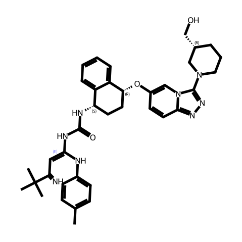 Cc1ccc(N/C(=C\C(=N)C(C)(C)C)NC(=O)N[C@H]2CC[C@@H](Oc3ccc4nnc(N5CCC[C@@H](CO)C5)n4c3)c3ccccc32)cc1